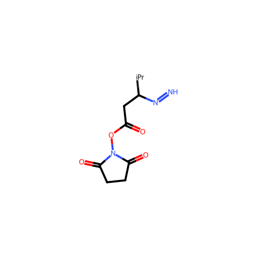 CC(C)C(CC(=O)ON1C(=O)CCC1=O)N=N